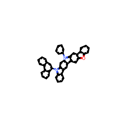 c1ccc(-n2c3cc4c(cc3c3cc5c6ccccc6n(-c6cc7ccccc7c7ccccc67)c5cc32)oc2ccccc24)cc1